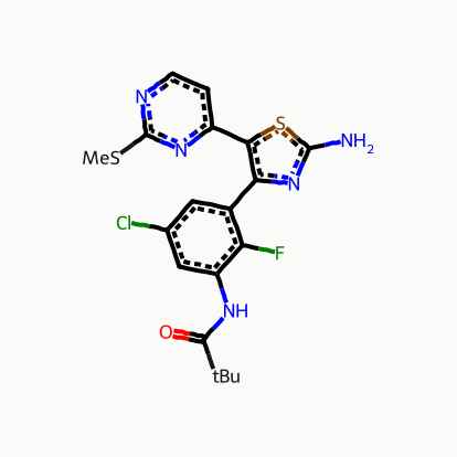 CSc1nccc(-c2sc(N)nc2-c2cc(Cl)cc(NC(=O)C(C)(C)C)c2F)n1